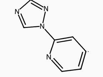 [c]1ccnc(-n2cncn2)c1